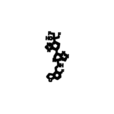 OC(CF)(CF)c1ccc(-c2cnc(NCc3c(F)ccc4c3CCO4)n3cnnc23)c2ncnn12